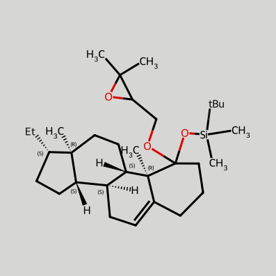 CC[C@H]1CC[C@H]2[C@@H]3CC=C4CCCC(OCC5OC5(C)C)(O[Si](C)(C)C(C)(C)C)[C@]4(C)[C@H]3CC[C@]12C